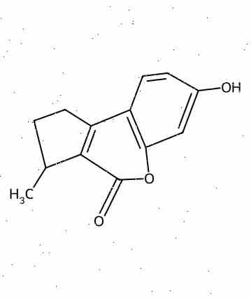 CC1CCc2c1c(=O)oc1cc(O)ccc21